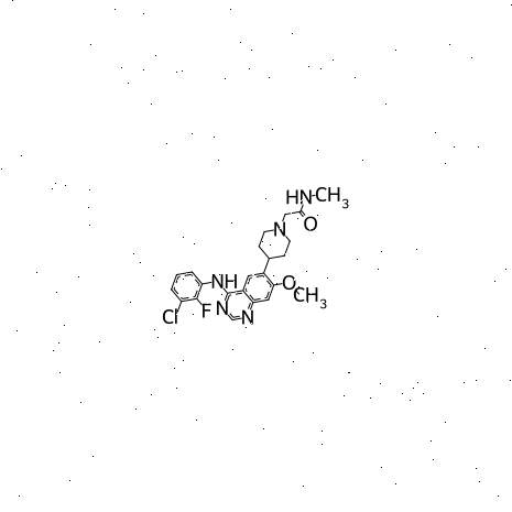 CNC(=O)CN1CCC(c2cc3c(Nc4cccc(Cl)c4F)ncnc3cc2OC)CC1